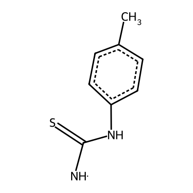 Cc1ccc(NC([NH])=S)cc1